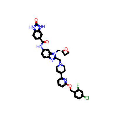 O=C(Nc1ccc2nc(CN3CC=C(c4cccc(OCc5ccc(Cl)cc5F)n4)CC3)n(C[C@@H]3CCO3)c2c1)c1ccc2[nH]c(=O)[nH]c2c1